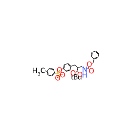 Cc1ccc(S(=O)(=O)Oc2ccc(CC(CNC(=O)OCc3ccccc3)C(=O)OC(C)(C)C)cc2)cc1